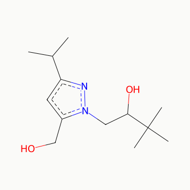 CC(C)c1cc(CO)n(CC(O)C(C)(C)C)n1